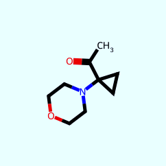 CC(=O)C1(N2CCOCC2)CC1